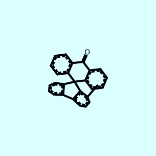 Cc1cccc2c1C1(c3ccccc3C(=O)c3ccccc31)c1ccccc1-2